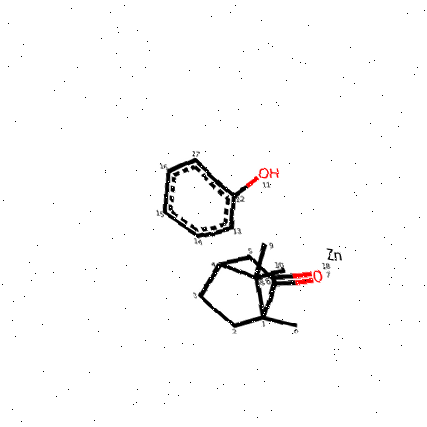 CC12CCC(CC1=O)C2(C)C.Oc1ccccc1.[Zn]